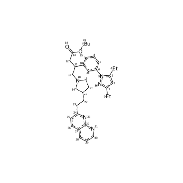 CCc1cc(CC)n(-c2cccc(C(CC(=O)OC(C)(C)C)CN3CCC(CCc4ccc5cccnc5n4)C3)c2)n1